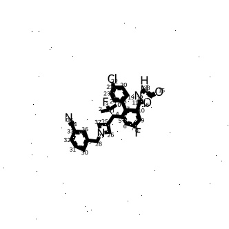 CC(C)(F)[C@H](c1cc(F)cc(-c2n[nH]c(=O)o2)c1-c1ccc(Cl)cc1)C1CN(Cc2cccc(C#N)c2)C1